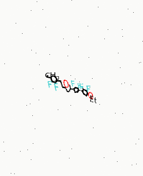 C=Cc1ccc(CCC2CCC(c3ccc(-c4ccc(OCC)c(F)c4F)c(F)c3F)CO2)c(F)c1F